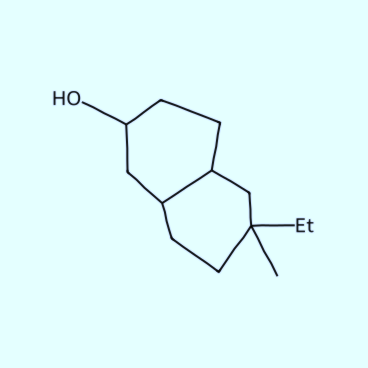 CCC1(C)CCC2CC(O)CCC2C1